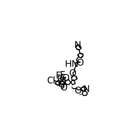 COC(=O)C1(N(C(=O)C(F)(F)F)c2cccc(Cl)c2)CCC2(CC1)c1cc(OCCCNC(=O)Cc3cccc(-c4ccncc4)c3)ccc1C[C@@H]2C[C@@H](C)COc1ccnc2c1[C@H](C)CCC2